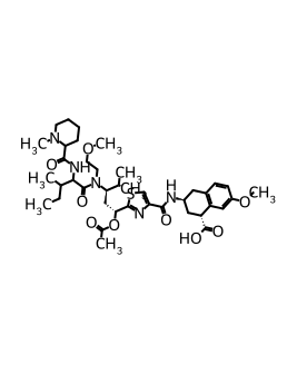 CCC(C)C(NC(=O)C1CCCCN1C)C(=O)N(CCOC)[C@H](C[C@@H](OC(C)=O)c1nc(C(=O)N[C@H]2Cc3ccc(OC)cc3[C@H](C(=O)O)C2)cs1)C(C)C